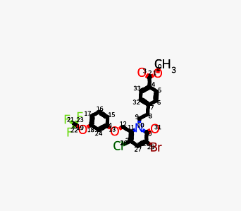 COC(=O)c1ccc(CCn2c(COc3cccc(OC(F)(F)F)c3)c(Cl)cc(Br)c2=O)cc1